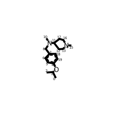 CC(C)Oc1ccc(CN(C)C2CCN(C)CC2)cc1